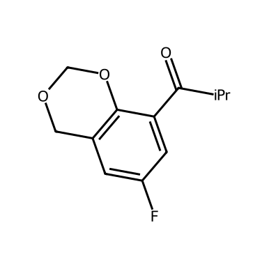 CC(C)C(=O)c1cc(F)cc2c1OCOC2